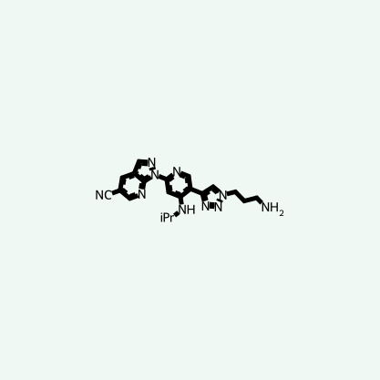 CC(C)Nc1cc(-n2ncc3cc(C#N)cnc32)ncc1-c1cn(CCCN)nn1